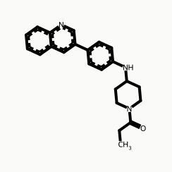 CCC(=O)N1CCC(Nc2ccc(-c3cnc4ccccc4c3)cc2)CC1